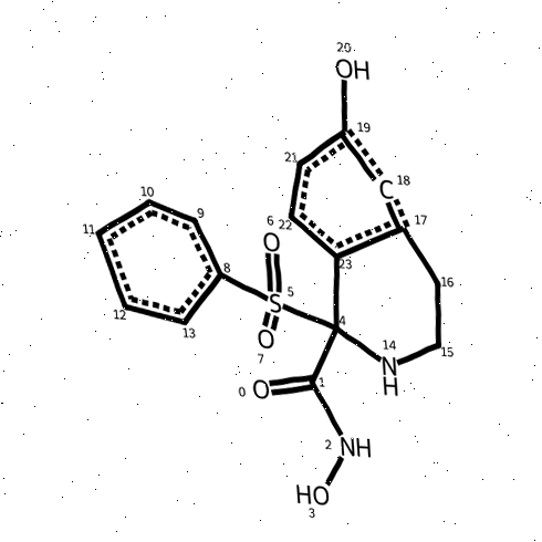 O=C(NO)C1(S(=O)(=O)c2ccccc2)NCCc2cc(O)ccc21